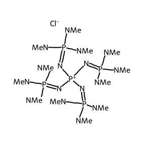 CNP(=N[P+](N=P(NC)(NC)NC)(N=P(NC)(NC)NC)N=P(NC)(NC)NC)(NC)NC.[Cl-]